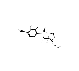 Cc1c(N2C(=O)N3CCC(=NO)[C@@H]3[C@H]2C)ccc(C#N)c1Cl